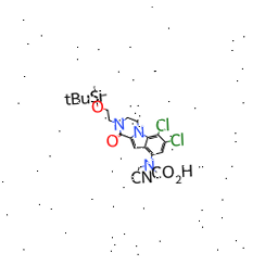 CC(C)(C)[Si](C)(C)OCCN1CCn2c(cc3c(N(CC#N)C(=O)O)cc(Cl)c(Cl)c32)C1=O